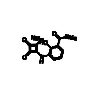 CNC(=O)c1cccc(Nc2c(NC)c(=O)c2=O)c1O